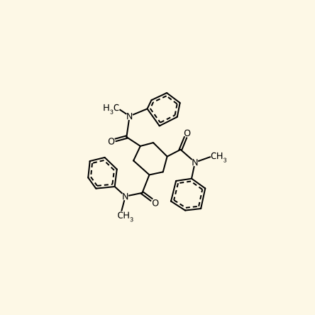 CN(C(=O)C1CC(C(=O)N(C)c2ccccc2)CC(C(=O)N(C)c2ccccc2)C1)c1ccccc1